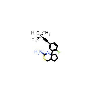 C[Si](C)(C)C#Cc1ccc(F)c(C23CCCC2CSC(N)=N3)c1